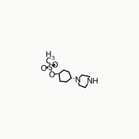 CS(=O)(=O)O[C@H]1CC[C@H](N2CCNCC2)CC1